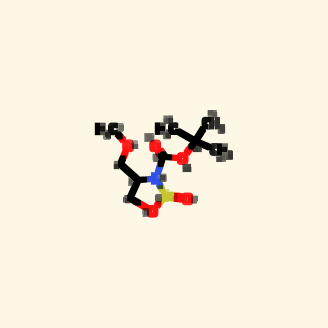 COCC1COS(=O)N1C(=O)OC(C)(C)C